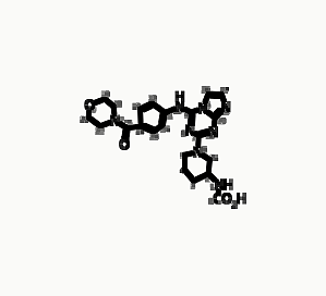 O=C(O)NC1CCCN(c2nc(Nc3ccc(C(=O)N4CCOCC4)cc3)n3ccnc3n2)C1